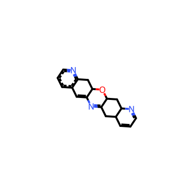 C1=CC2CC3=NC4=Cc5cccnc5CC4OC3CC2N=C1